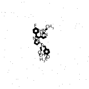 CCNc1nccc(-c2c(-c3ccc(F)cc3)nc3n2[C@H](CN(CCOC)Cc2ccc(OC)cc2)CC3)n1